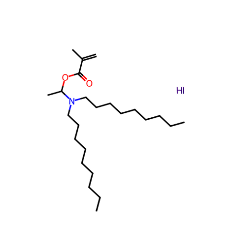 C=C(C)C(=O)OC(C)N(CCCCCCCCC)CCCCCCCCC.I